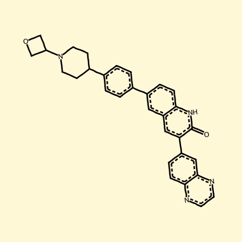 O=c1[nH]c2ccc(-c3ccc(C4CCN(C5COC5)CC4)cc3)cc2cc1-c1ccc2nccnc2c1